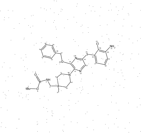 CC1(CNC(=O)OC(C)(C)C)CCN(c2ncc(Sc3cccc(N)c3Cl)nc2OCc2ccccc2)CC1